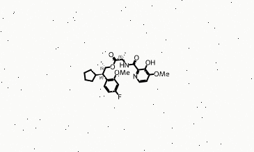 COc1cc(F)ccc1[C@@H](C1CCCC1)[C@H](C)OC(=O)[C@H](C)NC(=O)c1nccc(OC)c1O